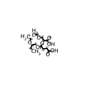 C=COC(CC)COC(=O)CCC(=O)O.C=COCCC(=O)O